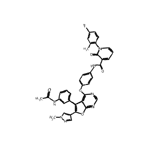 CC(=O)Nc1cccc(-c2c(-c3cnn(C)c3)oc3ncnc(Oc4ccc(NC(=O)c5cccn(-c6ccc(F)cc6C)c5=O)cc4)c23)c1